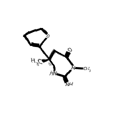 CN1C(=N)N[C@](C)(C2=CCCO2)CC1=O